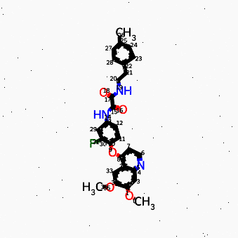 COc1cc2nccc(Oc3ccc(NC(=O)C(=O)NCCc4ccc(C)cc4)cc3F)c2cc1OC